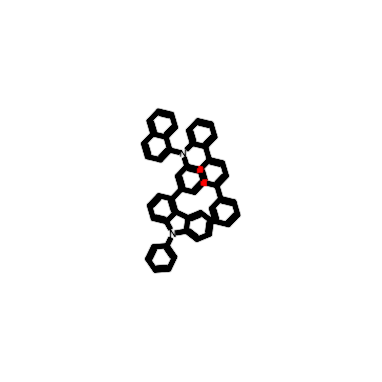 c1ccc(-c2ccc(-c3ccccc3N(c3cccc(-c4cccc5c4c4ccccc4n5-c4ccccc4)c3)c3cccc4ccccc34)cc2)cc1